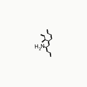 C=C\C=C/C(=C/C(N)=C\C=C)C(=C)C=C